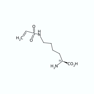 C=CS(=O)(=O)NCCCC[C@H](N)C(=O)O